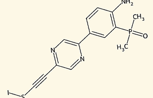 CP(C)(=O)c1cc(-c2cnc(C#CSI)cn2)ccc1N